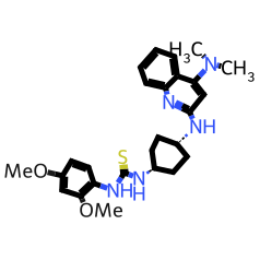 COc1ccc(NC(=S)N[C@H]2CC[C@@H](Nc3cc(N(C)C)c4ccccc4n3)CC2)c(OC)c1